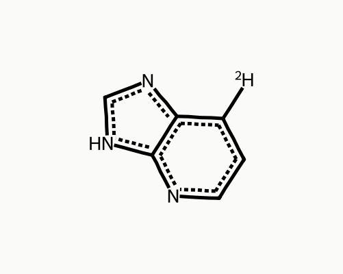 [2H]c1ccnc2[nH]cnc12